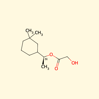 C[C@H](OC(=O)CO)C1CCCC(C)(C)C1